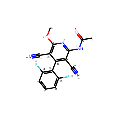 COc1nc(NC(C)=O)c(C#N)c(-c2c(F)cccc2F)c1C#N